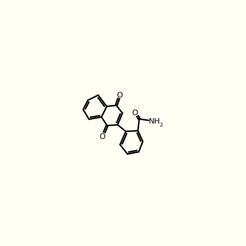 NC(=O)c1ccccc1C1=CC(=O)c2ccccc2C1=O